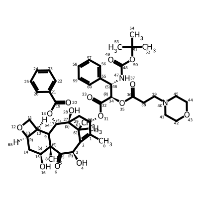 CC1=C2[C@@H](O)C(=O)[C@@]3(C)C([C@@H]4CO[C@@H]4C[C@@H]3O)[C@H](OC(=O)c3ccccc3)[C@](O)(C[C@@H]1OC(=O)[C@H](OC(=O)CCN1CCOCC1)[C@@H](NC(=O)OC(C)(C)C)c1ccccc1)C2(C)C